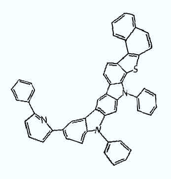 c1ccc(-c2cccc(-c3ccc4c(c3)c3cc5c6ccc7c(sc8ccc9ccccc9c87)c6n(-c6ccccc6)c5cc3n4-c3ccccc3)n2)cc1